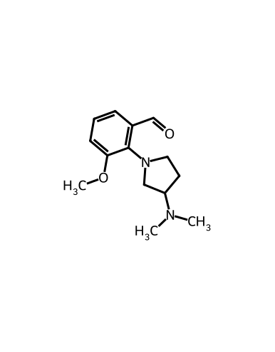 COc1cccc(C=O)c1N1CCC(N(C)C)C1